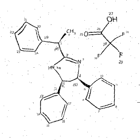 C[C@@H](C1=N[C@@H](c2ccccc2)[C@@H](c2ccccc2)N1)c1ccccc1.O=C(O)C(F)(F)F